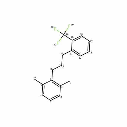 Cc1cccc(C)c1C[CH]Cc1ccccc1C(F)(F)F